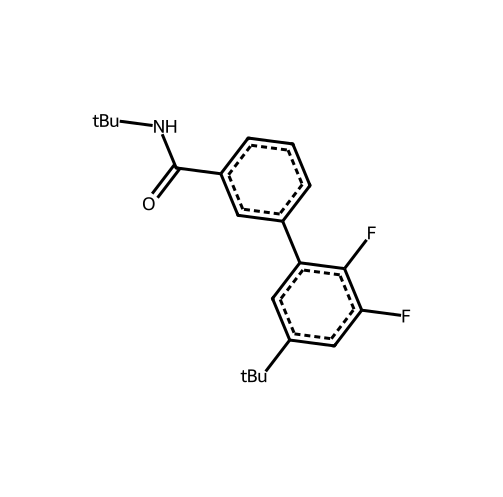 CC(C)(C)NC(=O)c1cccc(-c2cc(C(C)(C)C)cc(F)c2F)c1